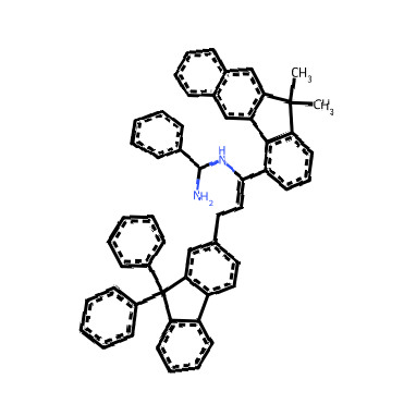 CC1(C)c2cc3ccccc3cc2-c2c(/C(=C/Cc3ccc4c(c3)C(c3ccccc3)(c3ccccc3)c3ccccc3-4)NC(N)c3ccccc3)cccc21